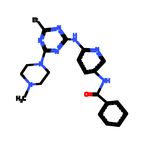 CCc1nc(Nc2ccc(NC(=O)c3ccccc3)cn2)nc(N2CCN(C)CC2)n1